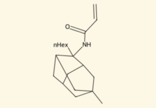 C=CC(=O)NC1(CCCCCC)C2CC3CC1CC(C)(C3)C2